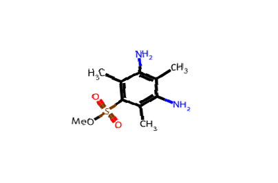 COS(=O)(=O)c1c(C)c(N)c(C)c(N)c1C